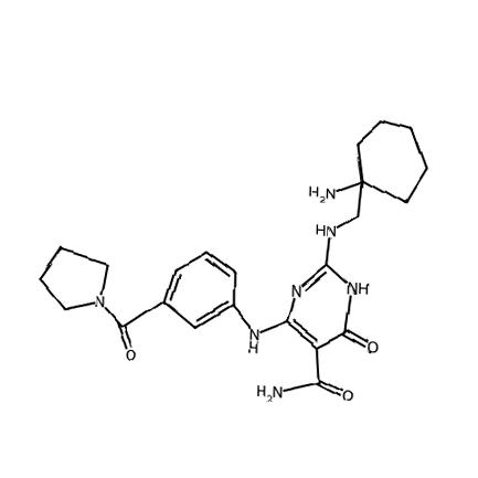 NC(=O)c1c(Nc2cccc(C(=O)N3CCCC3)c2)nc(NCC2(N)CCCCC2)[nH]c1=O